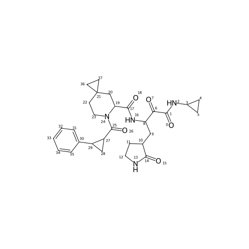 O=C(NC1CC1)C(=O)C(CC1CCNC1=O)NC(=O)C1CC2(CCN1C(=O)C1CC1c1ccccc1)CC2